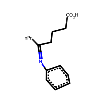 CCCC(CCCC(=O)O)=Nc1ccccc1